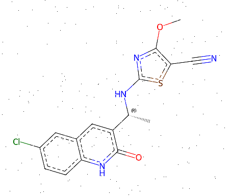 COc1nc(N[C@H](C)c2cc3cc(Cl)ccc3[nH]c2=O)sc1C#N